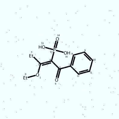 CCOC(CC)=C(C(=O)c1ccccc1)P(=O)(O)O